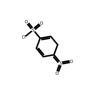 O=S(=O)=C1C=CC(S(=O)(=O)Cl)=CC1